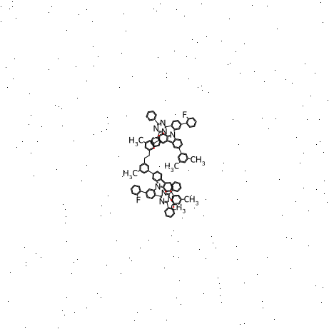 Cc1cc(C)cc(-c2ccc3c(c2)c2cc(-c4cc(C)cc(CCc5cc(C)cc(-c6ccc7c8ccc(-c9cc(C)cc(C)c9)cc8n(-c8cc(-c9ccccc9F)ccc8-c8nc(-c9ccccc9)nc(-c9ccccc9)n8)c7c6)c5)c4)ccc2n3-c2cc(-c3ccccc3F)ccc2-c2nc(-c3ccccc3)nc(-c3ccccc3)n2)c1